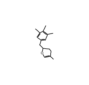 CC1=COC(Cc2cc(C)c(C)c(C)c2)CC1